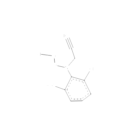 C#CCN(OOCl)c1c(C)cccc1C